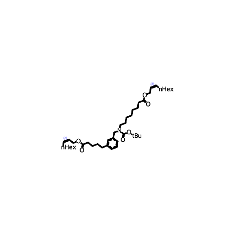 CCCCCC/C=C\COC(=O)CCCCCCCN(Cc1cccc(CCCCC(=O)OC/C=C\CCCCCC)c1)C(=O)OC(C)(C)C